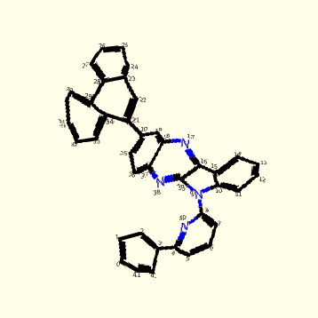 c1ccc(-c2cccc(-n3c4ccccc4c4nc5cc(-c6cc7ccccc7c7ccccc67)ccc5nc43)n2)cc1